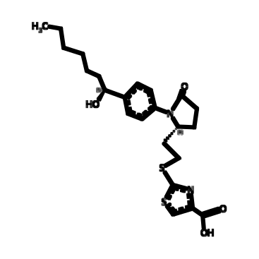 CCCCCC[C@H](O)c1ccc(N2C(=O)CC[C@@H]2CCSc2nc(C(=O)O)cs2)cc1